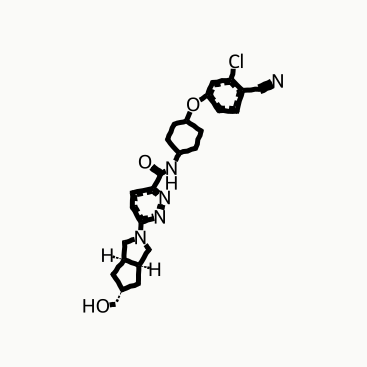 N#Cc1ccc(OC2CCC(NC(=O)c3ccc(N4C[C@H]5C[C@H](CO)C[C@H]5C4)nn3)CC2)cc1Cl